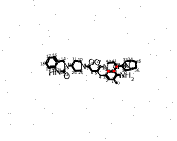 Cc1cc(C[C@@H](CC(=O)N2CCC(N3Cc4ccccc4NC3=O)CC2)C(=O)N2CCC(C3CC4CCC(C3)N4C)CC2)cc(Cl)c1N